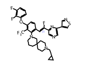 F/C(=C\c1ccc(Oc2cccc(F)c2F)c(C(F)(F)F)c1N1CCCC2(CCN(CC3CC3)CC2)C1)c1cncc(-c2cnsc2)n1